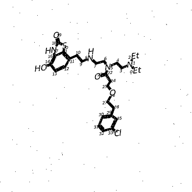 CCN(CC)CCN(CCNCCc1ccc(O)c2[nH]c(=O)sc12)C(=O)CCOCCc1cccc(Cl)c1